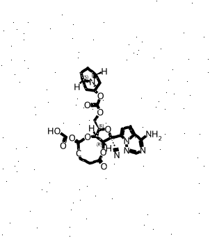 CN1[C@@H]2CC[C@H]1CC(OC(=O)OC[C@H]1O[C@@](C#N)(c3ccc4c(N)ncnn34)[C@@H]3OC(=O)CCCC(=O)O[C@@H]31)C2.O=CO